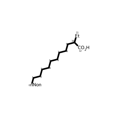 CCCCCCCCCCCCCCCCCCC(CC)C(=O)O